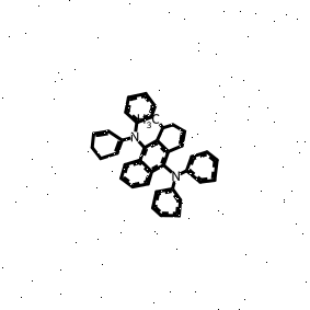 CC1CC=Cc2c1c(N(C1=CCCC=C1)c1ccccc1)c1ccccc1c2N(c1ccccc1)c1ccccc1